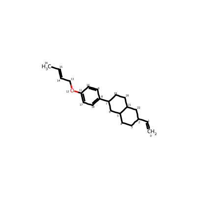 C=CC1CCC2CC(c3ccc(OCC=CC)cc3)CCC2C1